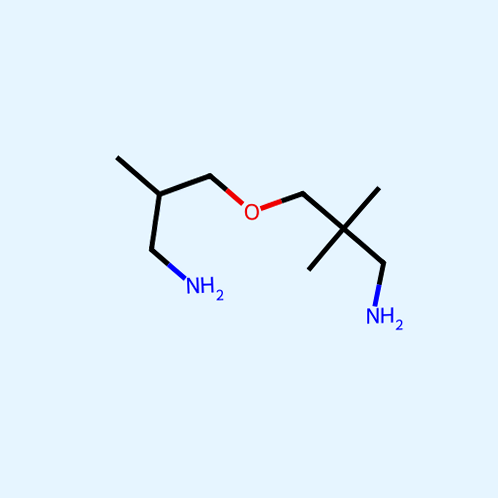 CC(CN)COCC(C)(C)CN